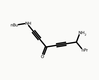 CCCCNC#CC(=O)C#CC(N)CCC